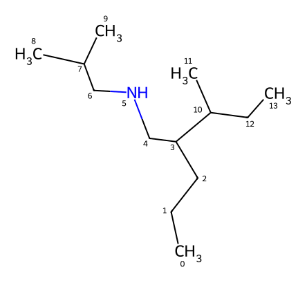 CCCC(CNCC(C)C)C(C)CC